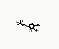 COC(=O)CCSc1ccc(C#N)c(S)c1Cl